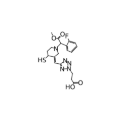 COC(=O)C(c1ccccc1F)N1CCC(S)C(=Cc2nnn(CCC(=O)O)n2)C1